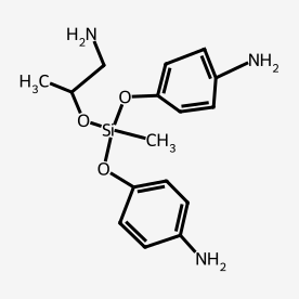 CC(CN)O[Si](C)(Oc1ccc(N)cc1)Oc1ccc(N)cc1